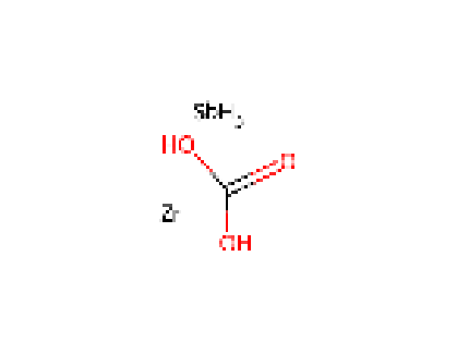 O=C(O)O.[SbH3].[Zr]